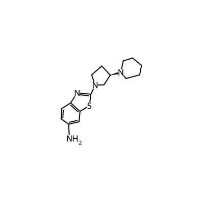 Nc1ccc2nc(N3CC[C@@H](N4CCCCC4)C3)sc2c1